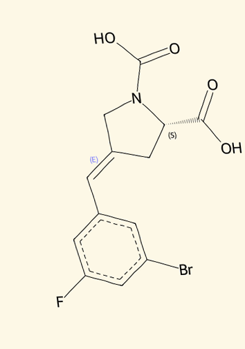 O=C(O)[C@@H]1C/C(=C\c2cc(F)cc(Br)c2)CN1C(=O)O